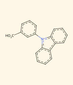 O=C(O)c1cccc(-n2c3ccccc3c3ccccc32)c1